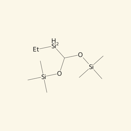 CC[SiH2]C(O[Si](C)(C)C)O[Si](C)(C)C